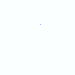 O=c1c2c(ncn2Cc2cccc(Cl)c2)n(-c2cccc(F)c2)c(=O)n1Cc1ccccc1